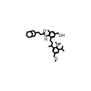 COCc1cc(C(C)C)c(N(C)C)c(C(C)CCc2cc(CO)cc(C)c2NC(=O)CCC2CC3CCCC(C3)C2)c1